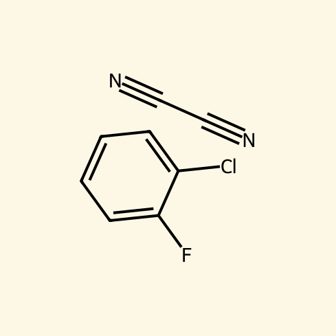 Fc1ccccc1Cl.N#CC#N